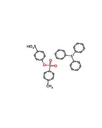 Cc1ccc(S(=O)(=O)Oc2ccc(S(=O)(=O)O)cc2)cc1.c1ccc([S+](c2ccccc2)c2ccccc2)cc1